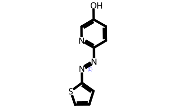 Oc1ccc(/N=N/c2cccs2)nc1